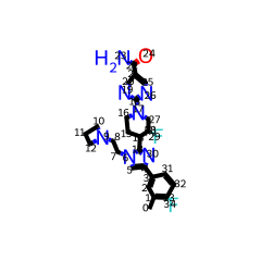 Cc1cc(-c2cn(CCN3CCC3)c(C3CCN(c4ncc(C(N)=O)cn4)C[C@H]3F)n2)ccc1F